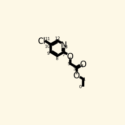 CCOC(=O)COc1ccc(Cl)cn1